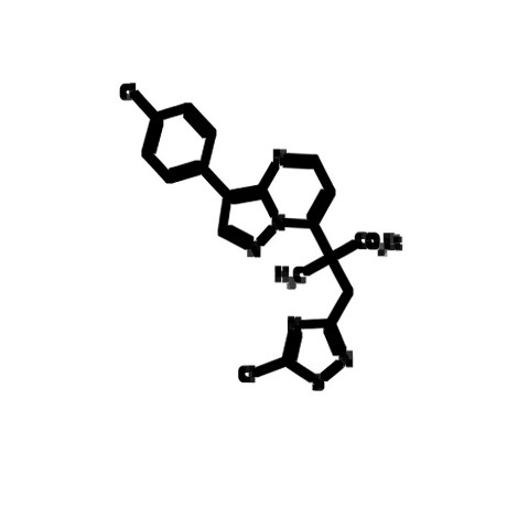 CCOC(=O)C(C)(Cc1nsc(Cl)n1)c1ccnc2c(-c3ccc(Cl)cc3)cnn12